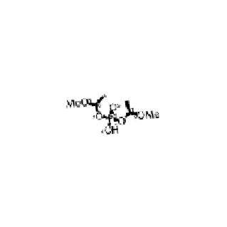 COC(C)OP(=O)(O)OC(C)OC